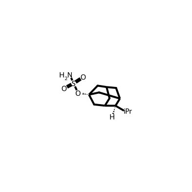 CC(C)[C@H]1C2CC3CC1C[C@](OS(N)(=O)=O)(C3)C2